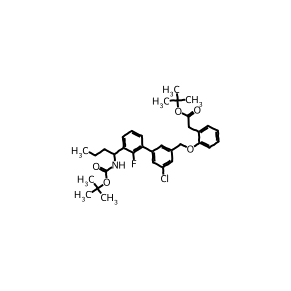 CCCC(NC(=O)OC(C)(C)C)c1cccc(-c2cc(Cl)cc(COc3ccccc3CC(=O)OC(C)(C)C)c2)c1F